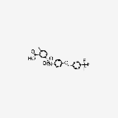 Cc1ccc(S(=O)(=O)Nc2ccc(OCc3ccc(C(F)(F)F)cc3)cc2)cc1C(=O)O